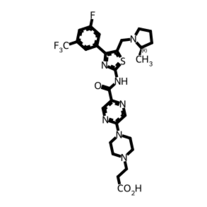 C[C@@H]1CCCN1Cc1sc(NC(=O)c2cnc(N3CCN(CCC(=O)O)CC3)cn2)nc1-c1cc(F)cc(C(F)(F)F)c1